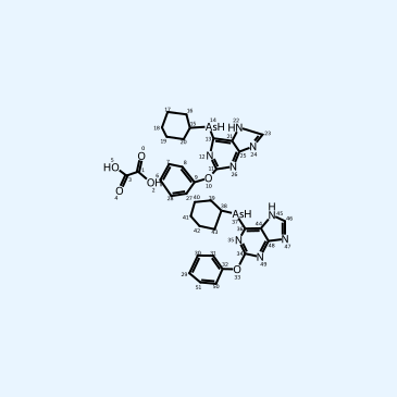 O=C(O)C(=O)O.c1ccc(Oc2nc([AsH]C3CCCCC3)c3[nH]cnc3n2)cc1.c1ccc(Oc2nc([AsH]C3CCCCC3)c3[nH]cnc3n2)cc1